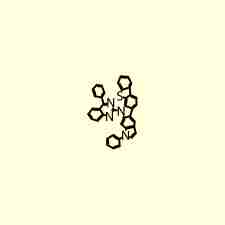 c1ccc(-c2nc(-n3c4cc5c(ccn5-c5ccccc5)cc4c4ccc5c6ccccc6sc5c43)nc3ccccc23)cc1